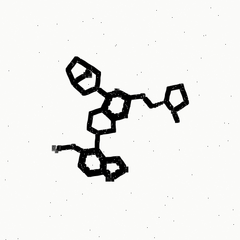 CN1CCC[C@H]1COc1nc2c(c(N3CC4CCC(C3)N4)n1)CCN(c1c(OC(F)(F)F)ccc3[nH]ncc13)C2